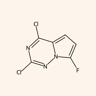 Fc1ccc2c(Cl)nc(Cl)nn12